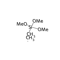 CO[Si](C)(OC)OC.[CH3]